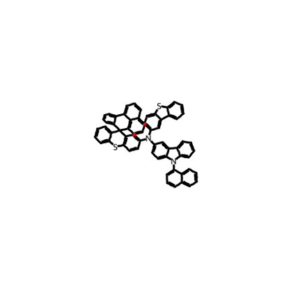 c1ccc2c(c1)Sc1ccc(N(c3ccc4sc5ccccc5c4c3)c3ccc4c(c3)c3ccccc3n4-c3cccc4ccccc34)cc1C21c2ccccc2-c2cccc3cccc1c23